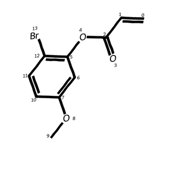 C=CC(=O)Oc1cc(OC)ccc1Br